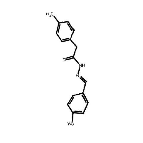 Cc1ccc(CC(=O)N/N=C/c2ccc(O)cc2)cc1